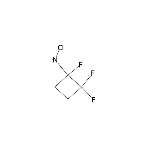 FC1(F)CCC1(F)[N]Cl